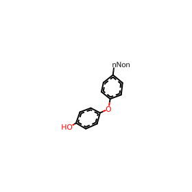 CCCCCCCCCc1ccc(Oc2ccc(O)cc2)cc1